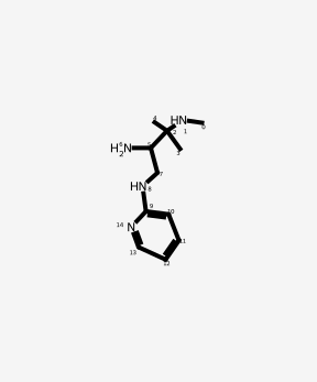 CNC(C)(C)C(N)CNc1ccccn1